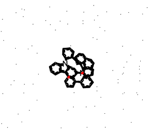 C(#Cc1ccccc1-n1c2ccccc2c2ccc(N(c3ccccc3-c3ccccc3)c3cccc4ccccc34)cc21)c1ccccc1